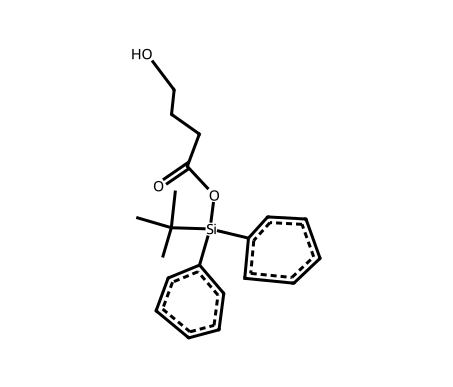 CC(C)(C)[Si](OC(=O)CCCO)(c1ccccc1)c1ccccc1